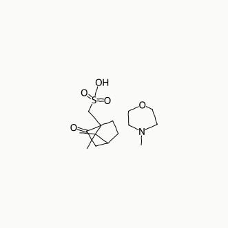 CC1(C)C2CCC1(CS(=O)(=O)O)C(=O)C2.CN1CCOCC1